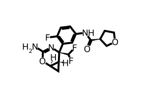 NC1=N[C@@](c2cc(NC(=O)[C@H]3CCOC3)ccc2F)(C(F)F)[C@H]2C[C@H]2O1